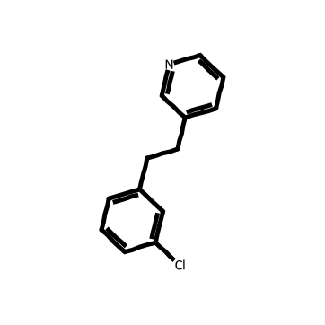 Clc1cccc(CCc2cccnc2)c1